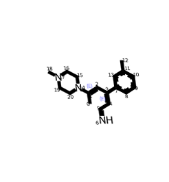 C/C(=C\C(=C/C=N)c1cccc(C)c1)N1CCN(C)CC1